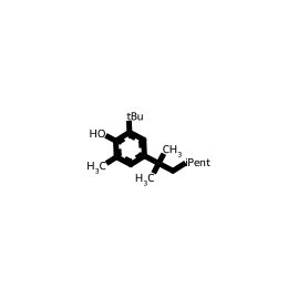 CCCC(C)CC(C)(C)c1cc(C)c(O)c(C(C)(C)C)c1